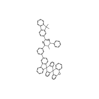 CC1C(c2cccc(-c3ccc4c(c3)-c3ccccc3C43c4ccccc4C4(c5ccccc5Oc5ccccc54)c4ccccc43)c2)=NC(c2ccc3c(c2)C(C)(C)c2ccccc2-3)=NC1c1ccccc1